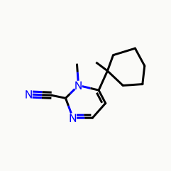 CN1C(C2(C)CCCCC2)=CC=NC1C#N